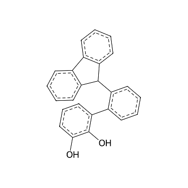 Oc1cccc(-c2ccccc2C2c3ccccc3-c3ccccc32)c1O